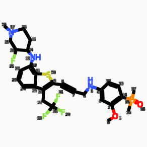 COc1cc(NCC#Cc2sc3c(NC4CCN(C)CC4F)cccc3c2CC(F)(F)F)ccc1P(C)(C)=O